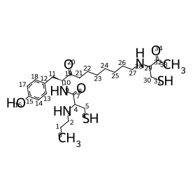 CCCNC(CS)C(=O)N[C@@H](Cc1ccc(O)cc1)C(=O)CCCCCCCNC(CS)C(C)=O